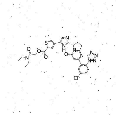 CCN(CC)C(=O)COC(=O)c1cc(-c2cnc([C@@H]3CCc4nc(-c5cc(Cl)ccc5-n5cnnn5)cc(=O)n43)[nH]2)cs1